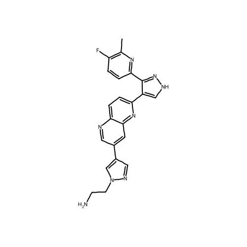 Cc1nc(-c2n[nH]cc2-c2ccc3ncc(-c4cnn(CCN)c4)cc3n2)ccc1F